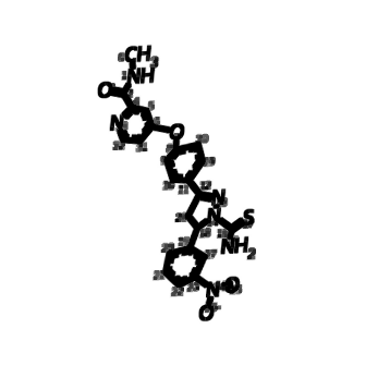 CNC(=O)c1cc(Oc2ccc(C3=NN(C(N)=S)C(c4cccc([N+](=O)[O-])c4)C3)cc2)ccn1